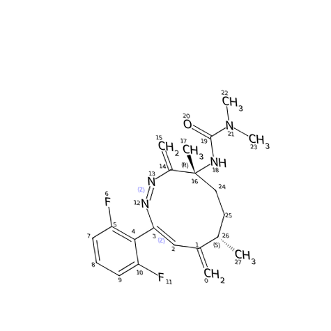 C=C1/C=C(c2c(F)cccc2F)\N=N/C(=C)[C@](C)(NC(=O)N(C)C)CC[C@@H]1C